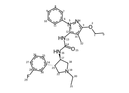 CCOc1nn(-c2ccccc2)c(NC(=O)N[C@H]2CN(CC)C[C@@H]2c2cccc(F)c2)c1C